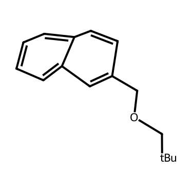 CC(C)(C)COCc1ccc2ccccc2c1